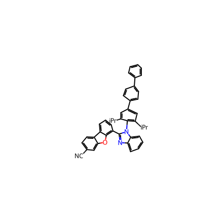 CC(C)c1cc(-c2ccc(-c3ccccc3)cc2)cc(C(C)C)c1-n1c(-c2cccc3c2oc2cc(C#N)ccc23)nc2ccccc21